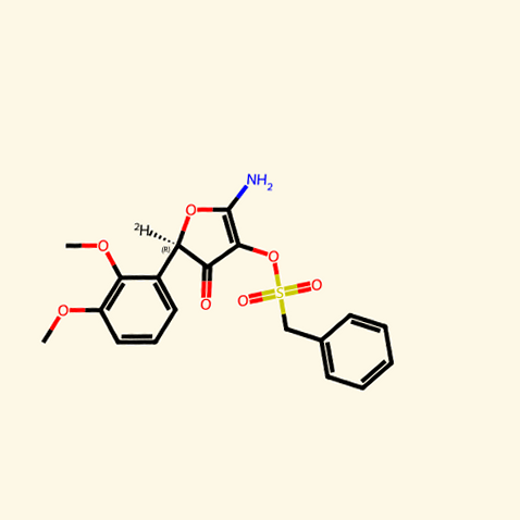 [2H][C@]1(c2cccc(OC)c2OC)OC(N)=C(OS(=O)(=O)Cc2ccccc2)C1=O